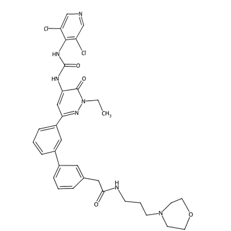 CCn1nc(-c2cccc(-c3cccc(CC(=O)NCCCN4CCOCC4)c3)c2)cc(NC(=O)Nc2c(Cl)cncc2Cl)c1=O